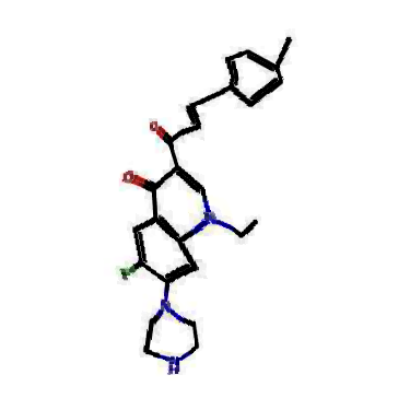 CCn1cc(C(=O)/C=C/c2ccc(C)cc2)c(=O)c2cc(F)c(N3CCNCC3)cc21